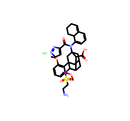 COc1cccc(OC)c1C12CC3CC(C1NS(=O)(=O)CCN)C(C(=O)O)C(N(C(=O)C1=CCN=N1)C1=CC=CC4=CCCCC41)(C3)C2.Cl